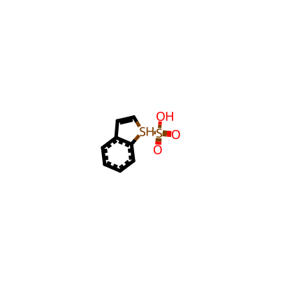 O=S(=O)(O)[SH]1C=Cc2ccccc21